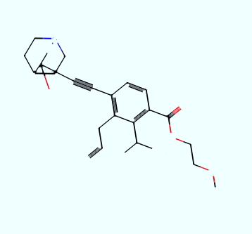 C=CCc1c(C#CC2(O)CN3CCC2CC3)ccc(C(=O)OCCOC)c1C(C)C